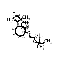 CCC(C)(C)OC(=O)COC1CCCCCc2c1nnn2C(C)(CC)CC